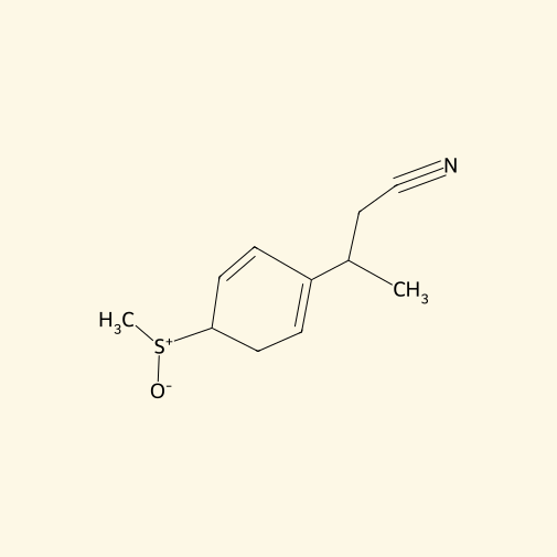 CC(CC#N)C1=CCC([S+](C)[O-])C=C1